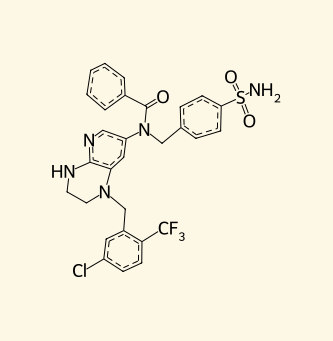 NS(=O)(=O)c1ccc(CN(C(=O)c2ccccc2)c2cnc3c(c2)N(Cc2cc(Cl)ccc2C(F)(F)F)CCN3)cc1